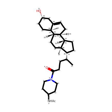 CC(=O)NC1CCN(C(=O)CCC(C)[C@H]2CC[C@H]3[C@@H]4CC=C5C[C@@H](O)CC[C@]5(C)[C@H]4CC[C@]23C)CC1